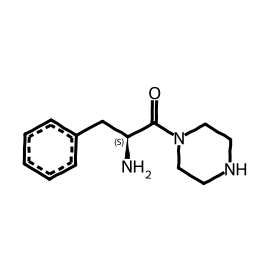 N[C@@H](Cc1ccccc1)C(=O)N1CCNCC1